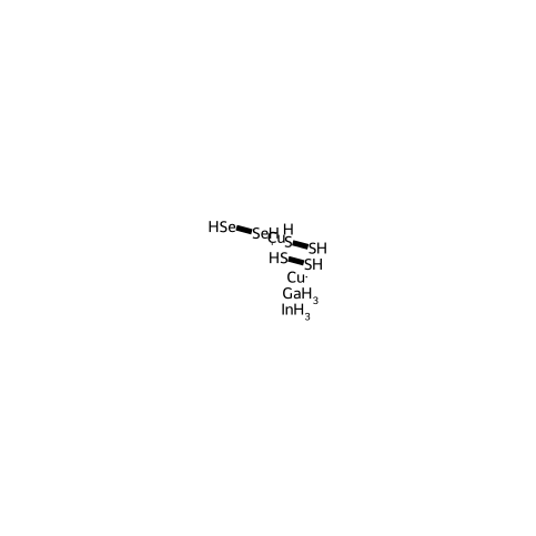 SS.SS.[Cu].[Cu].[GaH3].[InH3].[SeH][SeH]